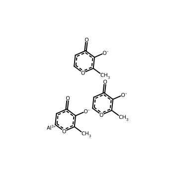 Cc1occc(=O)c1[O-].Cc1occc(=O)c1[O-].Cc1occc(=O)c1[O-].[Al+3]